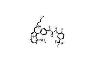 CSCCNCc1cn2ncnc(N)c2c1-c1ccc(NC(=O)Nc2cc(C(F)(F)F)ccc2F)cc1